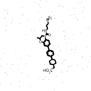 CCOCCCNC(=O)N1CC(C)Oc2cc(-c3ccc(C4CCC(CC(=O)O)CC4)cc3)ccc21